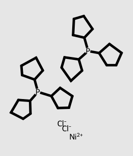 C1CCC(P(C2CCCC2)C2CCCC2)C1.C1CCC(P(C2CCCC2)C2CCCC2)C1.[Cl-].[Cl-].[Ni+2]